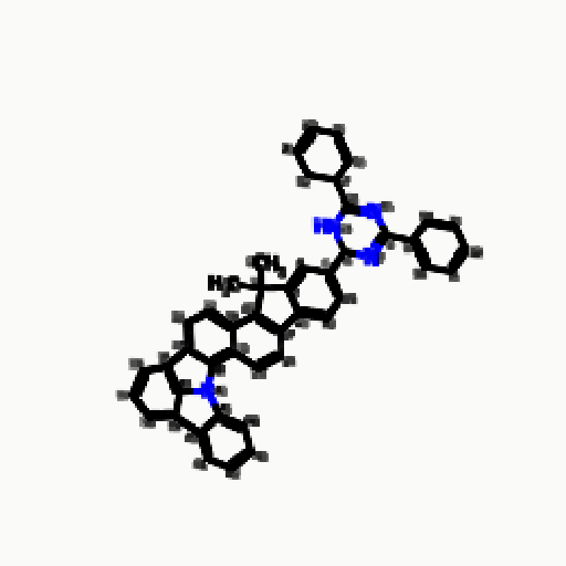 CC1(C)c2cc(C3N=C(c4ccccc4)N=C(C4C=CC=CC4)N3)ccc2-c2ccc3c(ccc4c5cccc6c7ccccc7n(c34)c65)c21